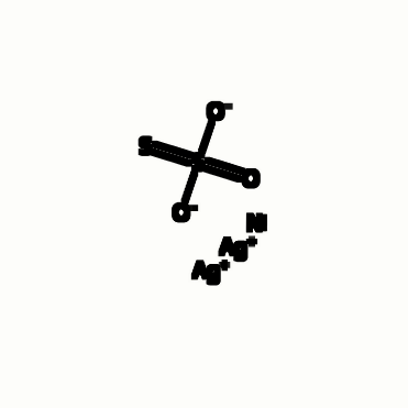 O=S([O-])([O-])=S.[Ag+].[Ag+].[N]